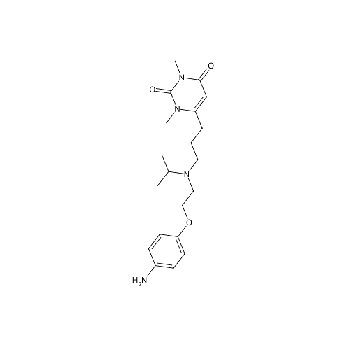 CC(C)N(CCCc1cc(=O)n(C)c(=O)n1C)CCOc1ccc(N)cc1